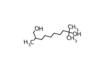 CC(CO)CCCCCCC(C)(C)O